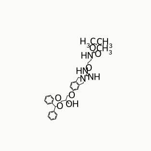 CC(C)(C)OC(=O)NCCONC(=N)N1Cc2ccc(OC[C@@H](O)C(=O)OC(c3ccccc3)c3ccccc3)cc2C1